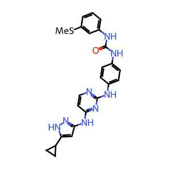 CSc1cccc(NC(=O)Nc2ccc(Nc3nccc(Nc4cc(C5CC5)[nH]n4)n3)cc2)c1